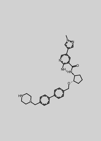 Cn1cc(-c2cnc(N)c(C(=O)N[C@H]3CCC[C@@H]3OCc3ccc(-c4ccc(CN5CCNCC5)cc4)cc3)c2)cn1